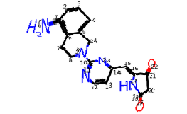 Nc1cccc2c1CCN(c1nccc(/C=C3\NC(=O)CC3=O)n1)C2